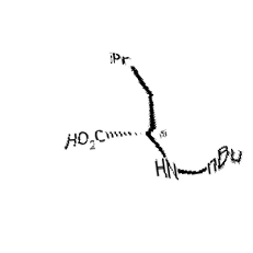 CCCCN[C@@H](CC(C)C)C(=O)O